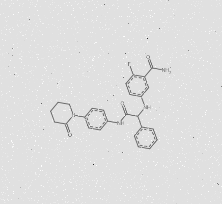 NC(=O)c1cc(NC(C(=O)Nc2ccc(N3CCCCC3=O)cc2)c2ccccc2)ccc1F